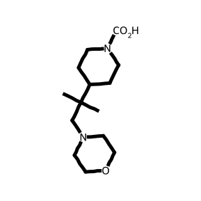 CC(C)(CN1CCOCC1)C1CCN(C(=O)O)CC1